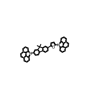 CC1(C)c2cc(-c3ccc(-n4c5cccc6ccc7cccc4c7c65)o3)ccc2-c2ccc(-n3c4cccc5ccc6cccc3c6c54)cc21